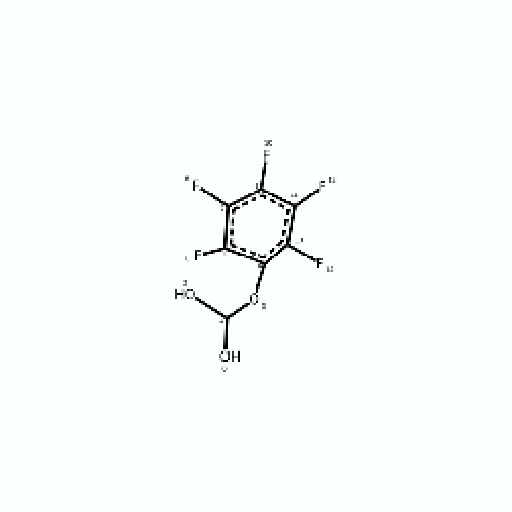 OC(O)Oc1c(F)c(F)c(F)c(F)c1F